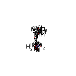 Cc1ncsc1-c1ccc([C@H](C)NC(=O)[C@@H]2C[C@@H](O)CN2C(=O)C(c2cc(N3CCC(CN4CCC(OC5CC(Oc6cnc(N7C8CCC7CC(n7nc(N)c(N)c7/C=C(\N)c7ccccc7O)C8)nc6)C5)CC4)CC3)no2)C(C)C)cc1